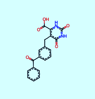 O=C(c1ccccc1)c1cccc(Cc2c(C(=O)O)[nH]c(=O)[nH]c2=O)c1